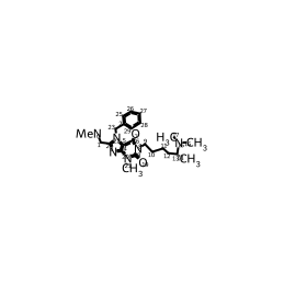 CNCc1nc2c(c(=O)n(CCCC[C@@H](C)N(C)C)c(=O)n2C)n1Cc1ccccc1